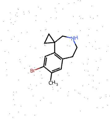 Cc1cc2c(cc1Br)C1(CC1)CNCC2